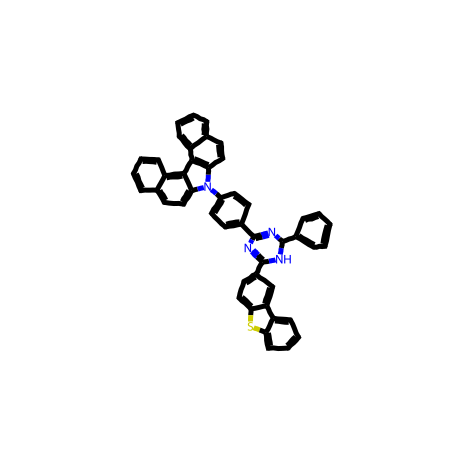 c1ccc(C2N=C(c3ccc(-n4c5ccc6ccccc6c5c5c6ccccc6ccc54)cc3)N=C(c3ccc4sc5ccccc5c4c3)N2)cc1